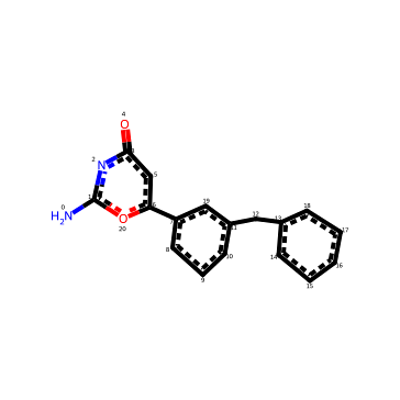 Nc1nc(=O)cc(-c2cccc(Cc3ccccc3)c2)o1